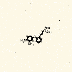 CCCCN(CCCC)CCOc1ccccc1Oc1ccc(N)c(N)c1